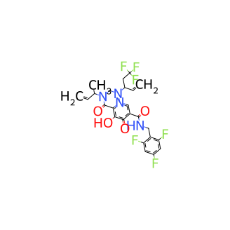 C=CC(C)N1CN(C(C=C)CC(F)(F)F)n2cc(C(=O)NCc3c(F)cc(F)cc3F)c(=O)c(O)c2C1=O